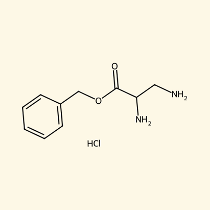 Cl.NCC(N)C(=O)OCc1ccccc1